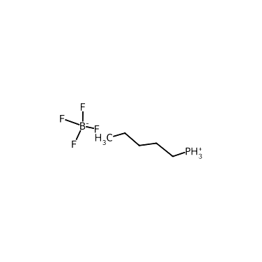 CCCCC[PH3+].F[B-](F)(F)F